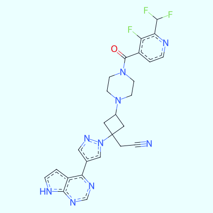 N#CCC1(n2cc(-c3ncnc4[nH]ccc34)cn2)CC(N2CCN(C(=O)c3ccnc(C(F)F)c3F)CC2)C1